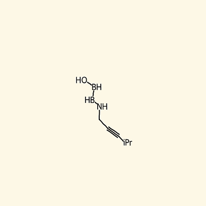 CC(C)C#CCNBBO